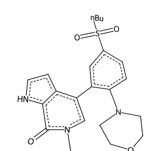 CCCCS(=O)(=O)c1ccc(N2CCOCC2)c(-c2cn(C)c(=O)c3[nH]ccc23)c1